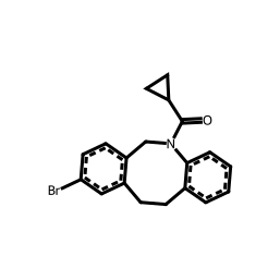 O=C(C1CC1)N1Cc2ccc(Br)cc2CCc2ccccc21